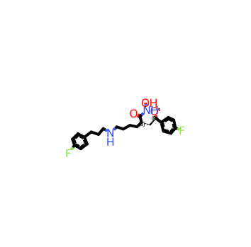 CO[C@H](C[C@H](CCCCNCCCc1ccc(F)cc1)C(=O)NO)c1ccc(F)cc1